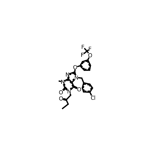 CCC(=O)Cn1c(=O)c2c(nc(Oc3cccc(OC(F)(F)F)c3)n2Cc2ccc(Cl)cc2)n(C)c1=O